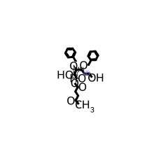 CC(=O)CCC(=O)OC[C@@H](O)[C@@H](OCc1ccccc1)[C@H](OCc1ccccc1)/C(O)=C/O